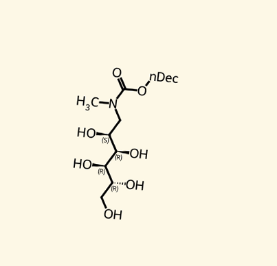 CCCCCCCCCCOC(=O)N(C)C[C@H](O)[C@@H](O)[C@H](O)[C@H](O)CO